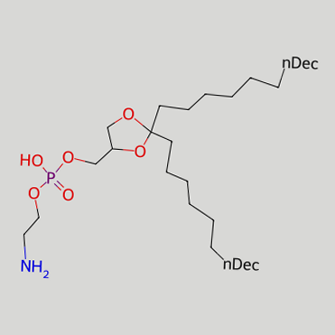 CCCCCCCCCCCCCCCCC1(CCCCCCCCCCCCCCCC)OCC(COP(=O)(O)OCCN)O1